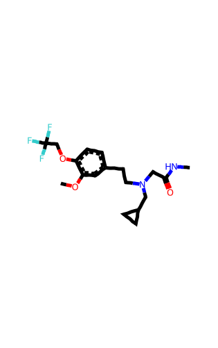 CNC(=O)CN(CCc1ccc(OCC(F)(F)F)c(OC)c1)CC1CC1